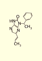 CC=Cc1cnc2[nH]c(=O)n(C(C)c3ccccc3)c2n1